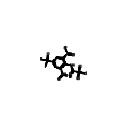 N=C(Nc1c([N+](=O)[O-])cc(C(F)(F)F)cc1[N+](=O)[O-])C(Cl)(Cl)Cl